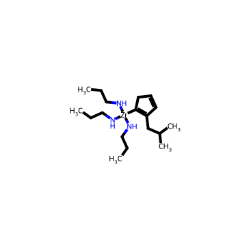 CCC[NH][Zr]([NH]CCC)([NH]CCC)[C]1=C(CC(C)C)C=CC1